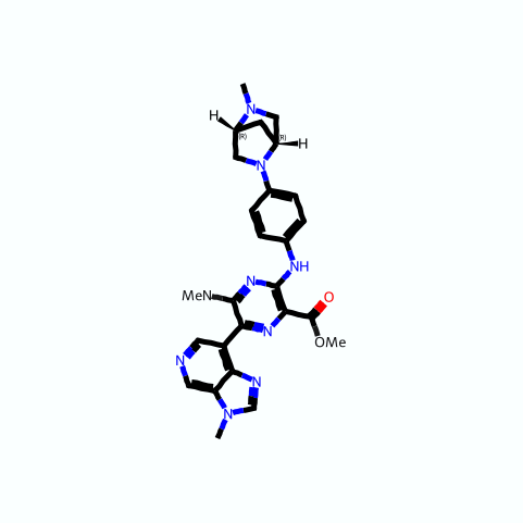 CNc1nc(Nc2ccc(N3C[C@H]4C[C@@H]3CN4C)cc2)c(C(=O)OC)nc1-c1cncc2c1ncn2C